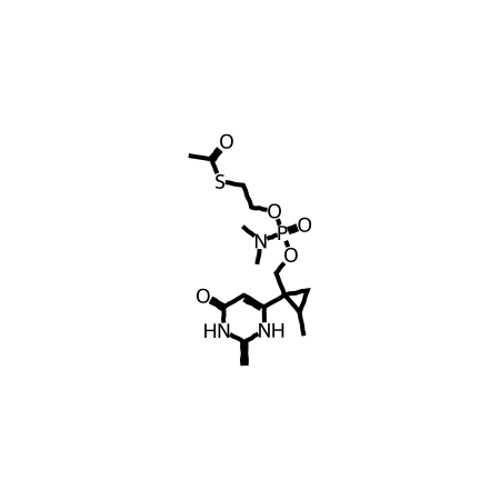 C=C1NC(=O)C=C(C2(COP(=O)(OCCSC(C)=O)N(C)C)CC2C)N1